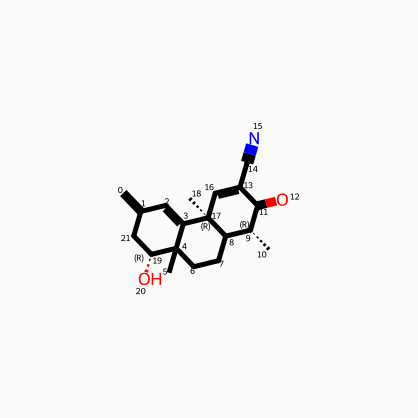 C=C1C=C2C(C)(CCC3[C@@H](C)C(=O)C(C#N)=C[C@]23C)[C@H](O)C1